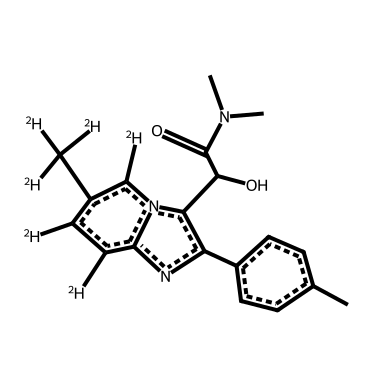 [2H]c1c(C([2H])([2H])[2H])c([2H])n2c(C(O)C(=O)N(C)C)c(-c3ccc(C)cc3)nc2c1[2H]